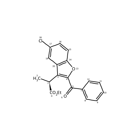 CCOC(=O)[C@@H](C)c1c(C(=O)c2ccccc2)oc2ccc(Cl)cc12